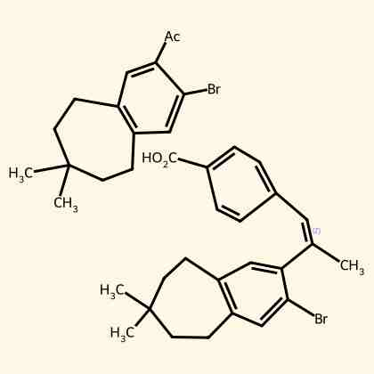 C/C(=C/c1ccc(C(=O)O)cc1)c1cc2c(cc1Br)CCC(C)(C)CC2.CC(=O)c1cc2c(cc1Br)CCC(C)(C)CC2